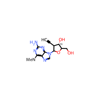 C#CC1C(n2cnc3c(NC)nc(N)nc32)OC(CO)[C@H]1O